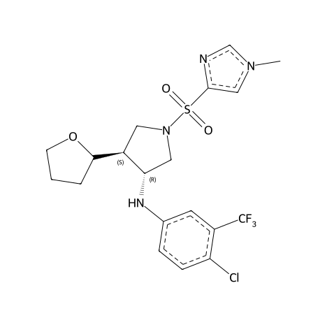 Cn1cnc(S(=O)(=O)N2C[C@H](Nc3ccc(Cl)c(C(F)(F)F)c3)[C@@H](C3CCCO3)C2)c1